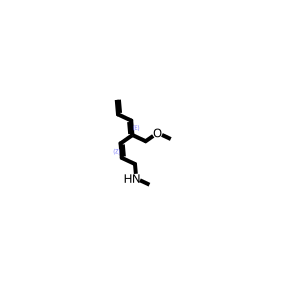 C=C/C=C(\C=C/CNC)COC